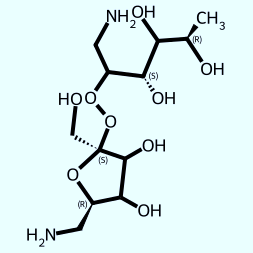 C[C@@H](O)C(O)[C@H](O)C(CN)OO[C@]1(CO)O[C@H](CN)C(O)C1O